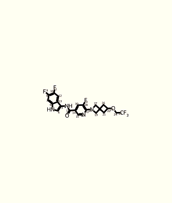 O=C(Nc1c[nH]c2cc(F)c(F)cc12)c1cnc(N2CC3(CC(OCC(F)(F)F)C3)C2)c(F)c1